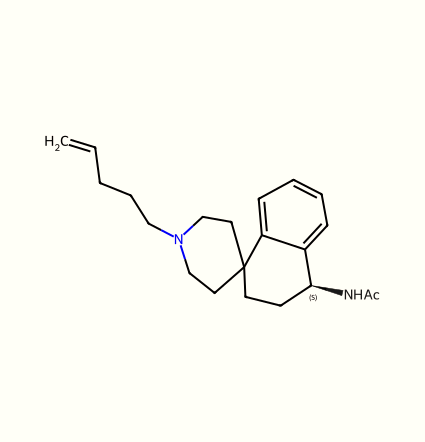 C=CCCCN1CCC2(CC[C@H](NC(C)=O)c3ccccc32)CC1